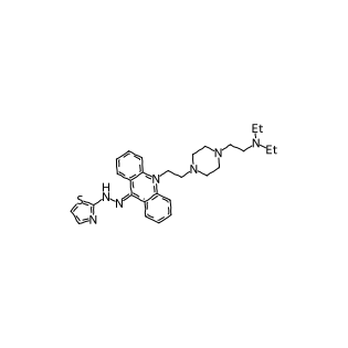 CCN(CC)CCN1CCN(CCn2c3ccccc3c(=NNc3nccs3)c3ccccc32)CC1